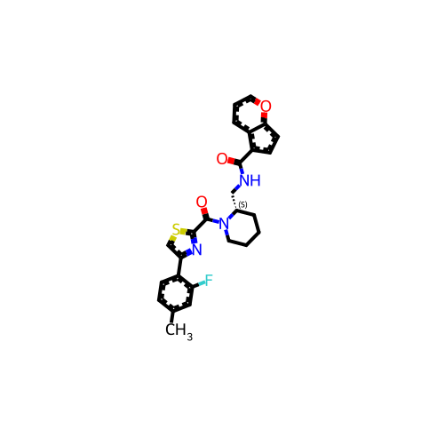 Cc1ccc(-c2csc(C(=O)N3CCCC[C@H]3CNC(=O)c3ccc4occcc3-4)n2)c(F)c1